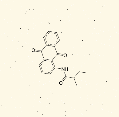 CCC(C)C(=O)Nc1cccc2c1C(=O)c1ccccc1C2=O